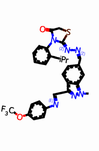 CC(C)c1ccccc1N1C(=O)CS/C1=N\N=C/c1ccc2c(/C=N/c3ccc(OC(F)(F)F)cc3)nn(C)c2c1